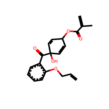 C=CCOc1ccccc1C(=O)C1(O)C=CC(OC(=O)C(=C)C)C=C1